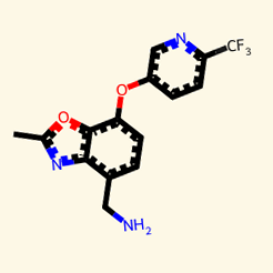 Cc1nc2c(CN)ccc(Oc3ccc(C(F)(F)F)nc3)c2o1